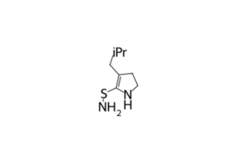 CC(C)CC1=C(SN)NCC1